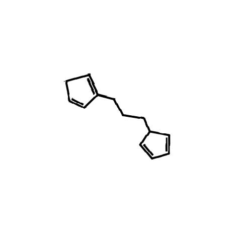 [CH]1C=CC(CCCC2C=CC=C2)=C1